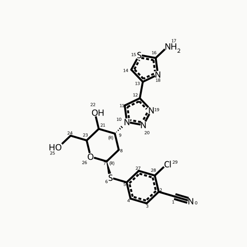 N#Cc1ccc(S[C@@H]2C[C@@H](n3cc(-c4csc(N)n4)nn3)C(O)C(CO)O2)cc1Cl